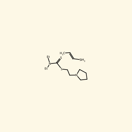 CC=C[SiH3].CCN(CC)C(=S)SCCN1CCCC1